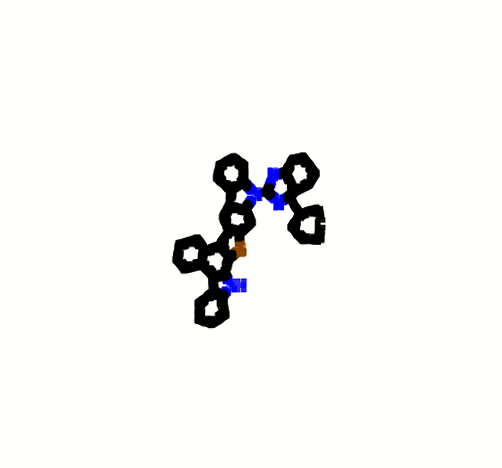 c1ccc(-c2nc(-n3c4ccccc4c4cc5c(cc43)sc3c4[nH]c6ccccc6c4c4ccccc4c53)nc3ccccc23)cc1